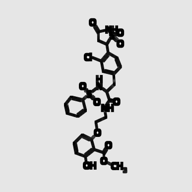 COC(=O)c1c(O)cccc1OCCNC(=O)C(Cc1ccc(C2CC(=O)NS2(=O)=O)c(Cl)c1)NS(=O)(=O)c1ccccc1